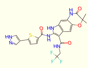 CC1(C)Oc2cc3c(C(=O)NCC(F)(F)F)c(NC(=O)c4ccc(-c5cn[nH]c5)s4)[nH]c3cc2NC1=O